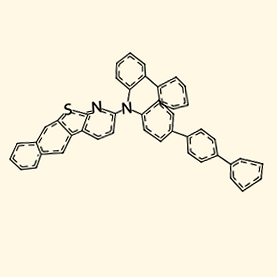 c1ccc(-c2ccc(-c3ccc(N(c4ccc5c(n4)sc4cc6ccccc6cc45)c4ccccc4-c4ccccc4)cc3)cc2)cc1